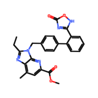 CCc1nc2c(C)cc(C(=O)OC)nc2n1Cc1ccc(-c2ccccc2-c2nc(=O)o[nH]2)cc1